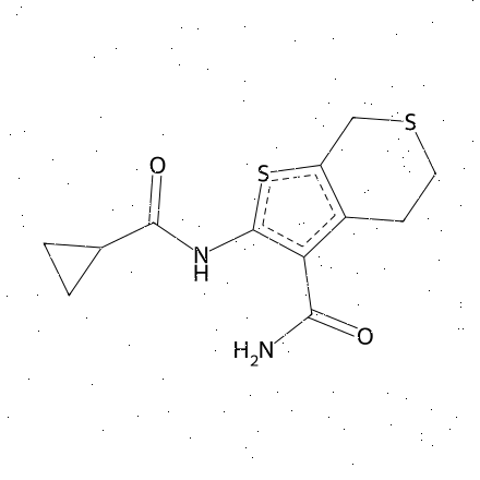 NC(=O)c1c(NC(=O)C2CC2)sc2c1CCSC2